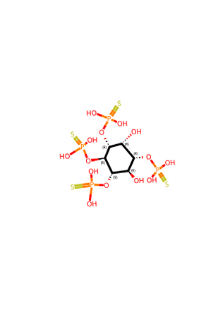 O[C@@H]1[C@H](OP(O)(O)=S)[C@@H](O)[C@H](OP(O)(O)=S)[C@@H](OP(O)(O)=S)[C@@H]1OP(O)(O)=S